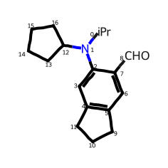 CC(C)N(c1cc2c(cc1C=O)CCC2)C1CCCC1